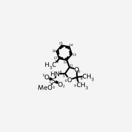 COS(=O)(=O)NC1OC(C)(C)OC1c1ccccc1C